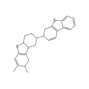 CC1=CC2=C(CC1C)C1CC(C3C=Cc4c(sc5ccccc45)C3)CCC1S2